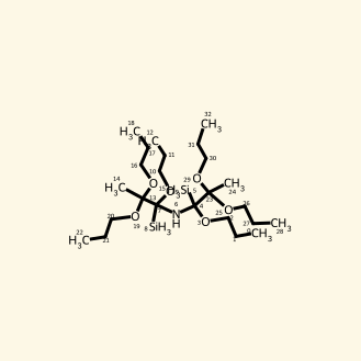 CCCOC([SiH3])(NC([SiH3])(OCCC)C(C)(OCCC)OCCC)C(C)(OCCC)OCCC